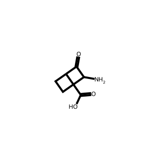 NC1C(=O)C2CCC12C(=O)O